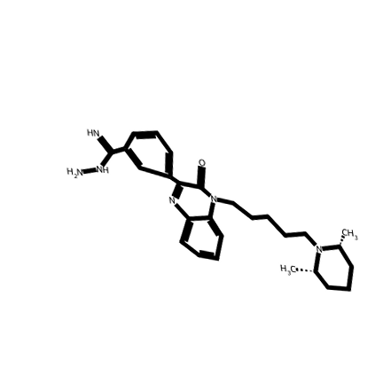 C[C@@H]1CCC[C@H](C)N1CCCCCn1c(=O)c(-c2cccc(C(=N)NN)c2)nc2ccccc21